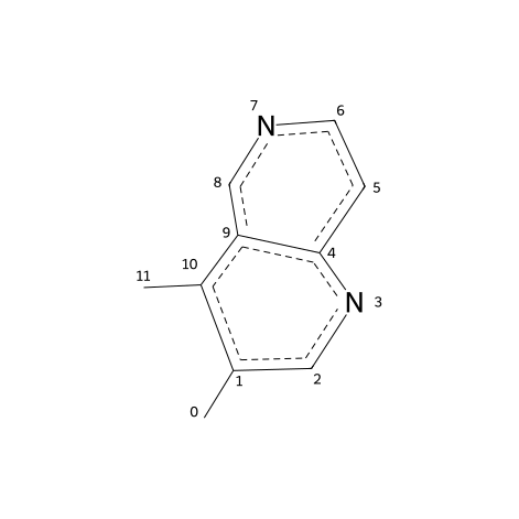 Cc1cnc2ccncc2c1C